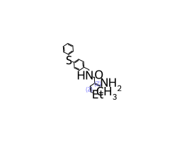 CC/C=C\C(C(=O)NCc1ccc(Sc2ccccc2)cc1)=C(/C)N